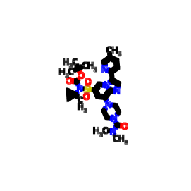 Cc1ccc(-c2cnc3c(N4CCN(C(=O)N(C)C)CC4)cc(S(=O)(=O)N(C(=O)OC(C)(C)C)C4(C)CC4)cn23)nc1